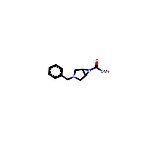 COC(=O)N1C2CN(Cc3ccccc3)CC21